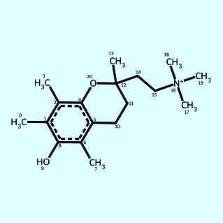 Cc1c(C)c2c(c(C)c1O)CCC(C)(CC[N+](C)(C)C)O2